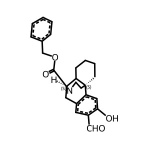 O=Cc1cc2c(cc1O)[C@]13CCCCC1[C@H](C2)N(C(=O)OCc1ccccc1)CC3